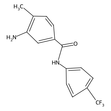 Cc1ccc(C(=O)Nc2ccc(C(F)(F)F)cc2)cc1N